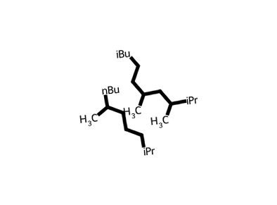 CCC(C)CCC(C)CC(C)C(C)C.CCCCC(C)CCCC(C)C